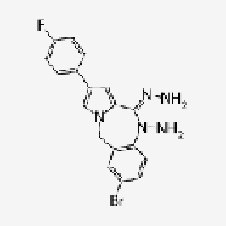 N/N=C1/c2cc(-c3ccc(F)cc3)cn2Cc2cc(Br)ccc2N1N